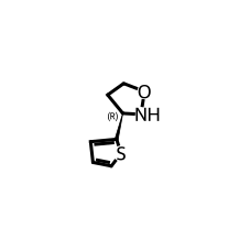 c1csc([C@H]2CCON2)c1